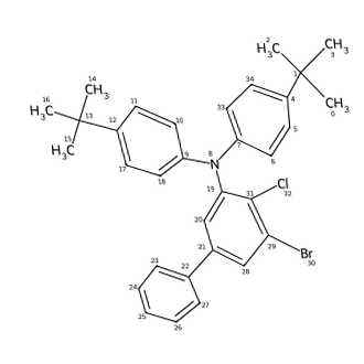 CC(C)(C)c1ccc(N(c2ccc(C(C)(C)C)cc2)c2cc(-c3ccccc3)cc(Br)c2Cl)cc1